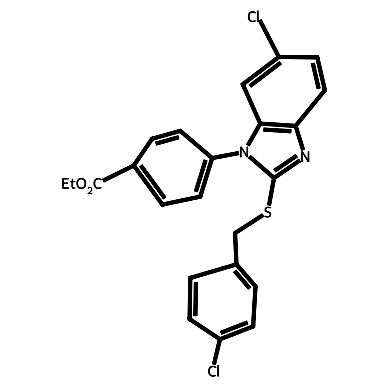 CCOC(=O)c1ccc(-n2c(SCc3ccc(Cl)cc3)nc3ccc(Cl)cc32)cc1